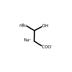 CCCCC(O)CC(=O)[O-].[Na+]